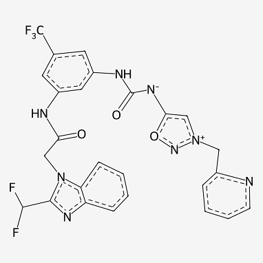 O=C(Cn1c(C(F)F)nc2ccccc21)Nc1cc(NC(=O)[N-]c2c[n+](Cc3ccccn3)no2)cc(C(F)(F)F)c1